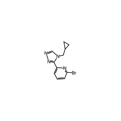 Brc1cccc(-c2nncn2CC2CC2)n1